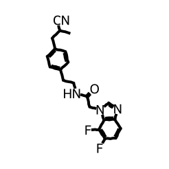 CC(C#N)Cc1ccc(CCNC(=O)Cn2cnc3ccc(F)c(F)c32)cc1